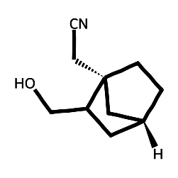 N#CC[C@@]12CC[C@H](CC1CO)C2